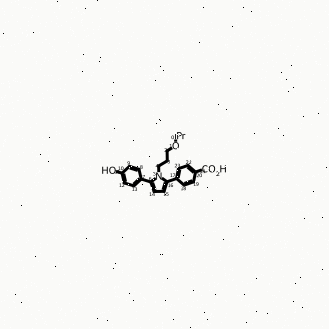 CC(C)OCCCn1c(-c2ccc(O)cc2)ccc1-c1ccc(C(=O)O)cc1